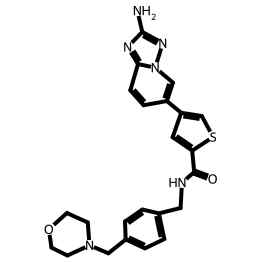 Nc1nc2ccc(-c3csc(C(=O)NCc4ccc(CN5CCOCC5)cc4)c3)cn2n1